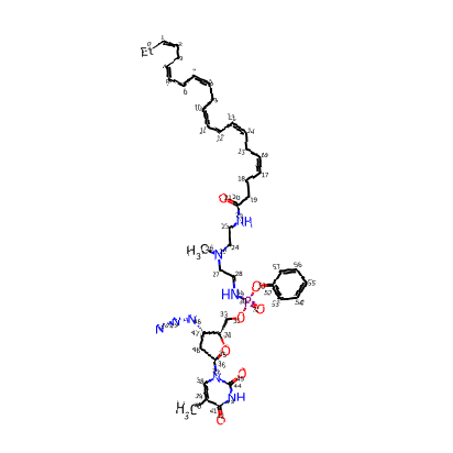 CC/C=C\C/C=C\C/C=C\C/C=C\C/C=C\C/C=C\CCC(=O)NCCN(C)CCNP(=O)(OC[C@H]1OC(n2cc(C)c(=O)[nH]c2=O)C[C@@H]1N=[N+]=[N-])Oc1ccccc1